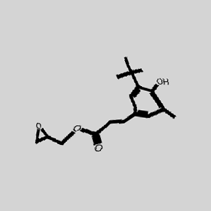 Cc1cc(CCC(=O)OCC2CO2)cc(C(C)(C)C)c1O